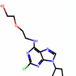 OCCOCCNc1nc(Cl)nc2c1ncn2C1CCCC1